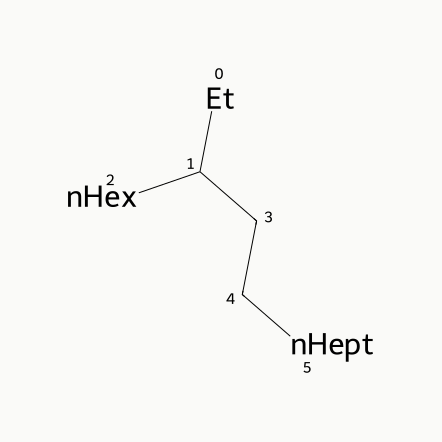 [CH2]CC(CCCCCC)CCCCCCCCC